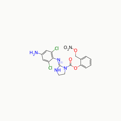 Nc1cc(Cl)c(/N=C2\NCCN2C(=O)Oc2ccccc2CO[N+](=O)[O-])c(Cl)c1